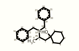 C[C@H](CC1(O)CCCCC1)N(Cc1ccccc1)Cc1ccccc1